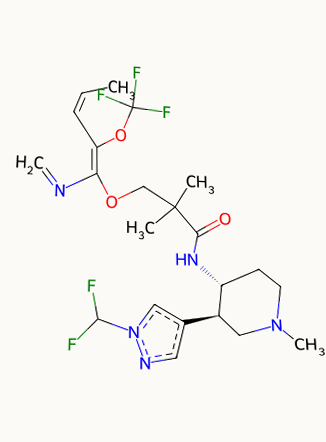 C=N/C(OCC(C)(C)C(=O)N[C@@H]1CCN(C)C[C@H]1c1cnn(C(F)F)c1)=C(\C=C/C)OC(F)(F)F